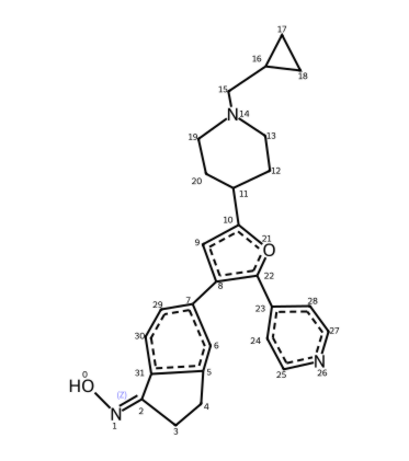 O/N=C1/CCc2cc(-c3cc(C4CCN(CC5CC5)CC4)oc3-c3ccncc3)ccc21